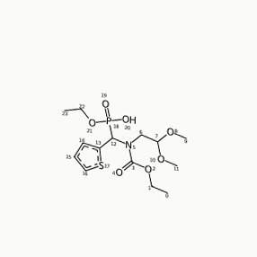 CCOC(=O)N(CC(OC)OC)C(c1cccs1)P(=O)(O)OCC